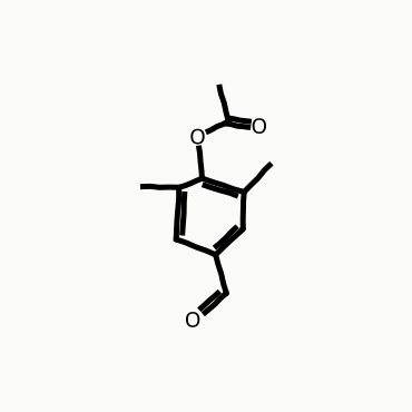 CC(=O)Oc1c(C)cc(C=O)cc1C